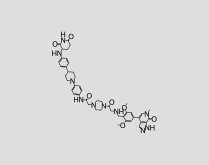 COc1cc(-c2cn(C)c(=O)c3[nH]ncc23)cc(OC)c1CNCC(=O)N1CCN(CC(=O)Nc2ccc(N3CCC(c4ccc(NC5CCC(=O)NC5=O)cc4)CC3)cc2)CC1